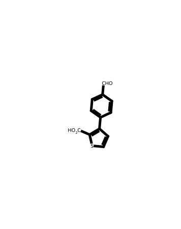 O=Cc1ccc(-c2ccsc2C(=O)O)cc1